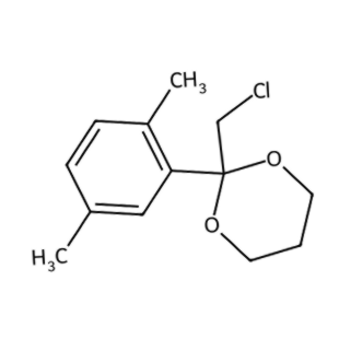 Cc1ccc(C)c(C2(CCl)OCCCO2)c1